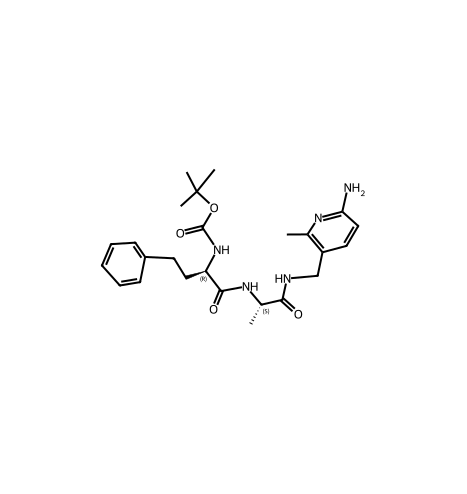 Cc1nc(N)ccc1CNC(=O)[C@H](C)NC(=O)[C@@H](CCc1ccccc1)NC(=O)OC(C)(C)C